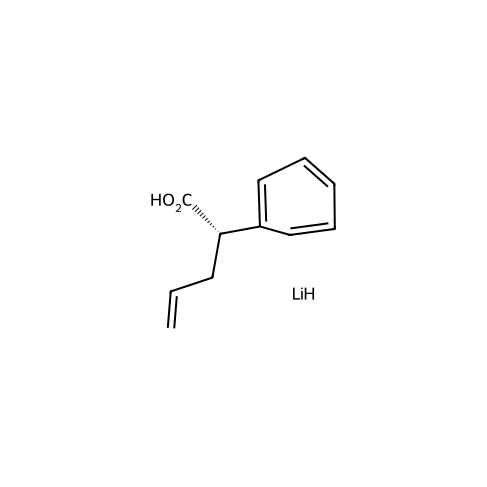 C=CC[C@H](C(=O)O)c1ccccc1.[LiH]